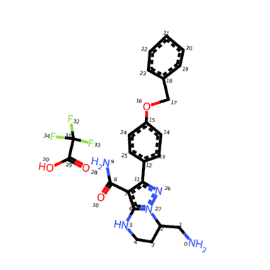 NCC1CCNc2c(C(N)=O)c(-c3ccc(OCc4ccccc4)cc3)nn21.O=C(O)C(F)(F)F